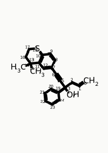 C=CCC(O)(C#Cc1ccc2c(c1)C(C)(C)CCS2)c1ccccc1